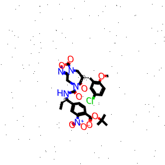 CC[C@@H](NC(=O)N1Cc2noc(=O)n2C[C@H](Cc2cc(Cl)ccc2OC)C1=O)c1ccc(C(=O)OC(C)(C)C)c([N+](=O)[O-])c1